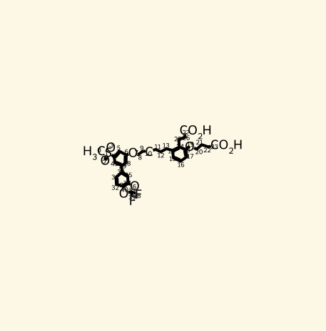 CS(=O)(=O)c1cc(OCCCCCCc2cccc(OCCCC(=O)O)c2CCC(=O)O)cc(-c2ccc3c(c2)OC(F)(F)O3)c1